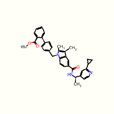 Cc1c(C)n(Cc2ccc(-c3ccccc3C(=O)OC(C)(C)C)cc2)c2ccc(C(=O)N[C@H](C)c3ccnc(C4CC4)c3)cc12